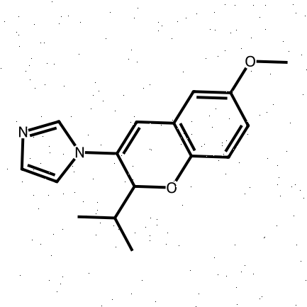 COc1ccc2c(c1)C=C(n1ccnc1)C(C(C)C)O2